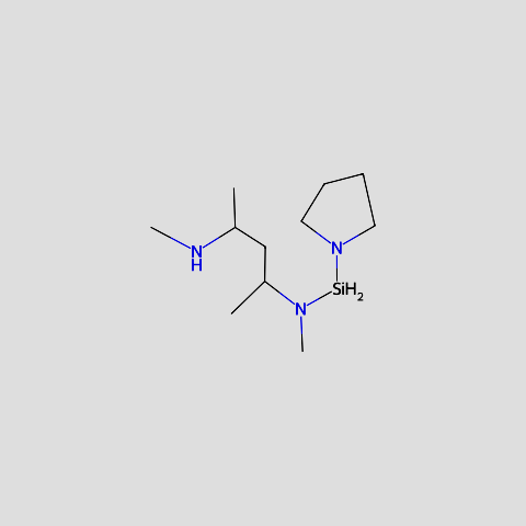 CNC(C)CC(C)N(C)[SiH2]N1CCCC1